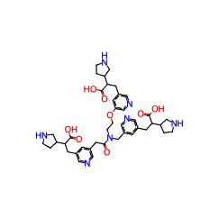 O=C(O)C(Cc1cncc(CC(=O)N(CCOc2cncc(CC(C(=O)O)C3CCNC3)c2)Cc2cncc(CC(C(=O)O)C3CCNC3)c2)c1)C1CCNC1